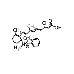 CC1=C(/C=C/C(C)=C/C=C/C(C)=C/C(=O)O)[C@](C)(N(C)S(=O)(=O)c2ccccc2)CCC1